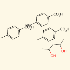 CC(O)CC(C)O.CCCCc1ccc(C(=O)O)cc1.Cc1ccc(C(=O)O)cc1.Cc1ccc(C(=O)O)cc1